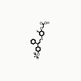 CS(=O)(=O)Oc1ccc(C(=CCSc2ccc(OCC(=O)O)c(I)c2)c2ccccc2)cc1